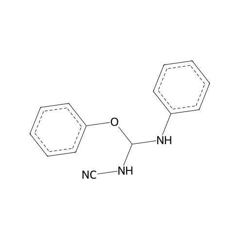 N#CNC(Nc1ccccc1)Oc1ccccc1